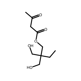 CCC(CO)(CO)COC(=O)CC(C)=O